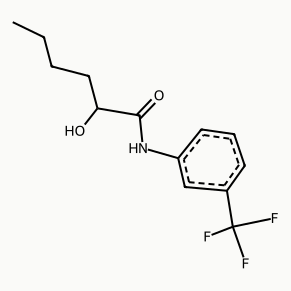 CCCCC(O)C(=O)Nc1cccc(C(F)(F)F)c1